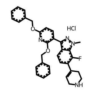 Cl.Cn1nc(-c2ccc(OCc3ccccc3)nc2OCc2ccccc2)c2ccc(C3=CCNCC3)c(F)c21